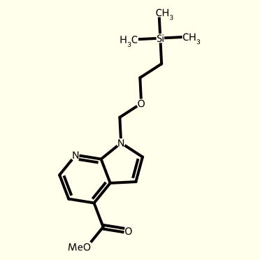 COC(=O)c1ccnc2c1ccn2COCC[Si](C)(C)C